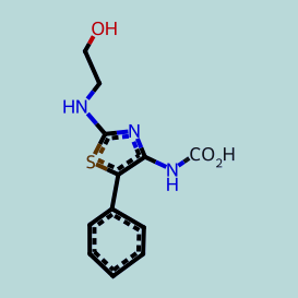 O=C(O)Nc1nc(NCCO)sc1-c1ccccc1